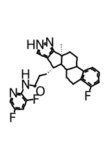 C[C@]12CCC3c4cccc(F)c4CCC3C1[C@H](CCC(=O)Nc1ncc(F)cc1F)c1c[nH]nc12